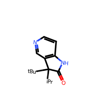 CC(C)C1(C(C)(C)C)C(=O)Nc2ccncc21